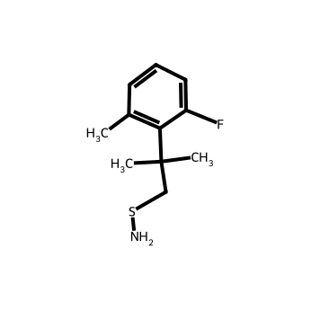 Cc1cccc(F)c1C(C)(C)CSN